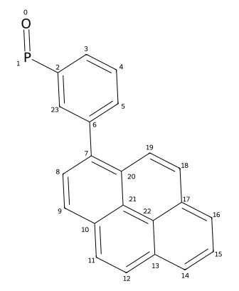 O=Pc1cccc(-c2ccc3ccc4cccc5ccc2c3c45)c1